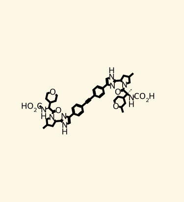 CC1CC(c2nc(-c3ccc(C#Cc4ccc(-c5c[nH]c(C6CC(C)CN6C(=O)[C@@](C)(NC(=O)O)C6CCOC(C)C6)n5)cc4)cc3)c[nH]2)N(C(=O)[C@@H](NC(=O)O)C2CCOCC2)C1